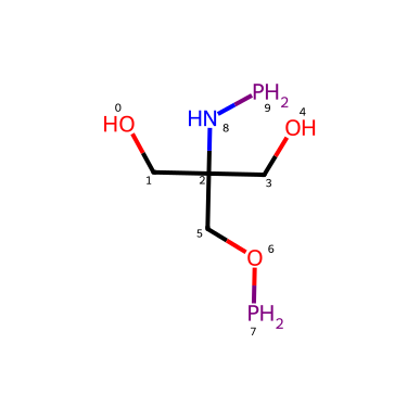 OCC(CO)(COP)NP